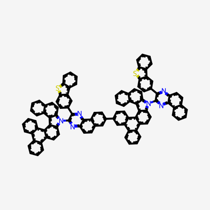 c1ccc2c(c1)ccc1nc(-c3ccc4sc5ccccc5c4c3)c(-n3c4ccc5ccccc5c4c4c5c(ccc43)c3ccccc3c3cc(-c4ccc6c(ccc7nc(-n8c9ccc%10ccccc%10c9c9c%10c%11ccccc%11c%11ccccc%11c%10ccc98)c(-c8ccc9sc%10ccccc%10c9c8)nc76)c4)ccc35)nc12